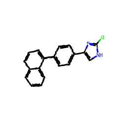 Clc1nc(-c2ccc(-c3cccc4ccccc34)cc2)c[nH]1